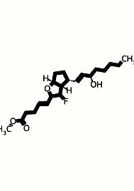 CCCCC[C@H](O)/C=C/[C@H]1CC[C@@H]2OC(/C=C/CCC(=O)OC)C(F)[C@@H]21